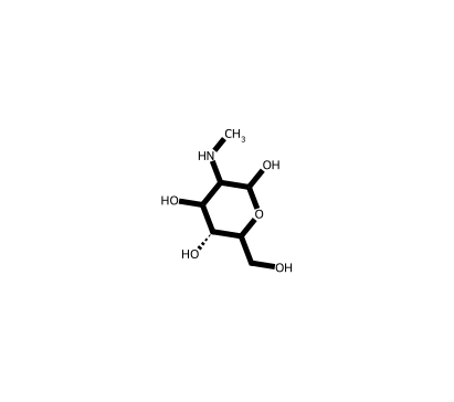 CNC1C(O)OC(CO)[C@H](O)C1O